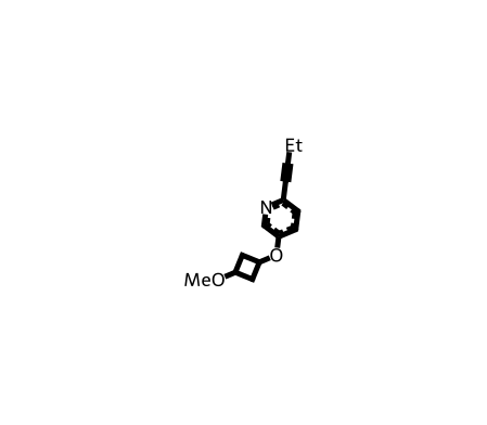 CCC#Cc1ccc(OC2CC(OC)C2)cn1